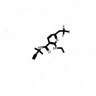 C#CC(C)(C)NC(=O)c1ccc(CC(F)(F)F)nc1NCC